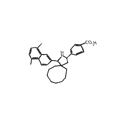 Cc1ccc(C)c2cc(C3NC(c4ccc(C(=O)O)cc4)CC34CCCCCCCC4)ccc12